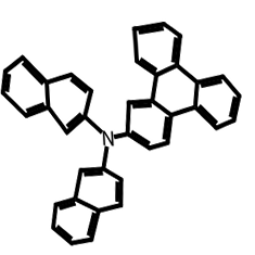 c1ccc2cc(N(c3ccc4ccccc4c3)c3ccc4c5ccccc5c5ccccc5c4c3)ccc2c1